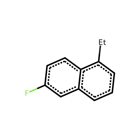 CCc1cccc2cc(F)ccc12